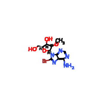 CO[C@@H]1[C@H](O)[C@@H](CO)O[C@H]1n1c(Br)nc2c(N)ncnc21